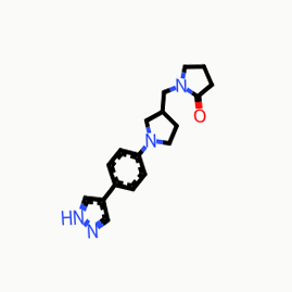 O=C1CCCN1CC1CCN(c2ccc(-c3cn[nH]c3)cc2)C1